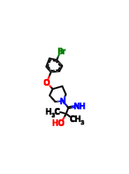 CC(C)(O)C(=N)N1CCC(Oc2ccc(Br)cc2)CC1